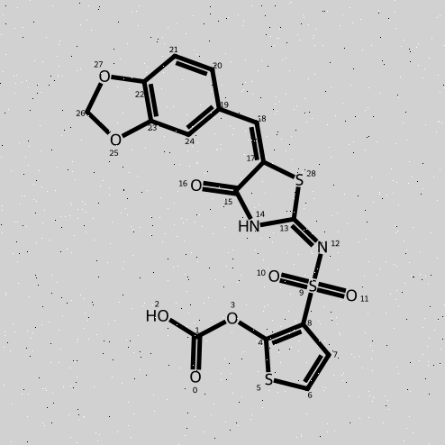 O=C(O)Oc1sccc1S(=O)(=O)N=C1NC(=O)C(=Cc2ccc3c(c2)OCO3)S1